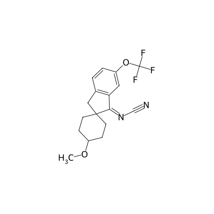 COC1CCC2(CC1)Cc1ccc(OC(F)(F)F)cc1/C2=N\C#N